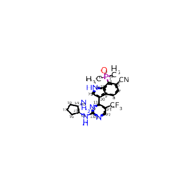 CP(C)(=O)c1c(C#N)ccc2c(-c3nc(N[C@H]4CCC[C@@H]4N)ncc3C(F)(F)F)c[nH]c12